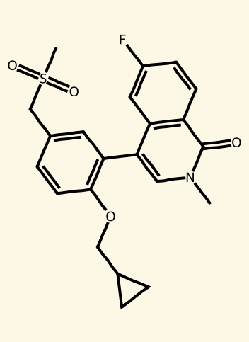 Cn1cc(-c2cc(CS(C)(=O)=O)ccc2OCC2CC2)c2cc(F)ccc2c1=O